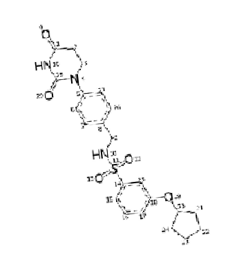 O=C1CCN(c2ccc(CNS(=O)(=O)c3cccc(OC4CCCC4)c3)cc2)C(=O)N1